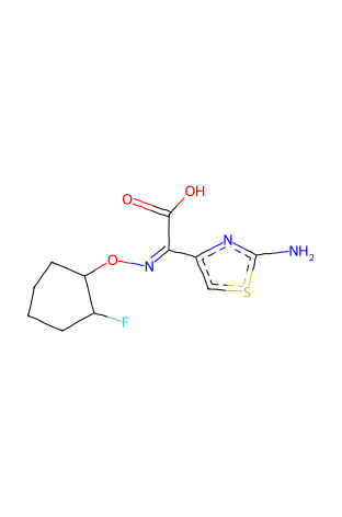 Nc1nc(/C(=N/OC2CCCCC2F)C(=O)O)cs1